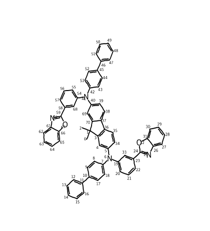 CC1(C)c2cc(N(c3ccc(-c4ccccc4)cc3)c3cccc(-c4nc5ccccc5o4)c3)ccc2-c2ccc(N(c3ccc(-c4ccccc4)cc3)c3cccc(-c4nc5ccccc5o4)c3)cc21